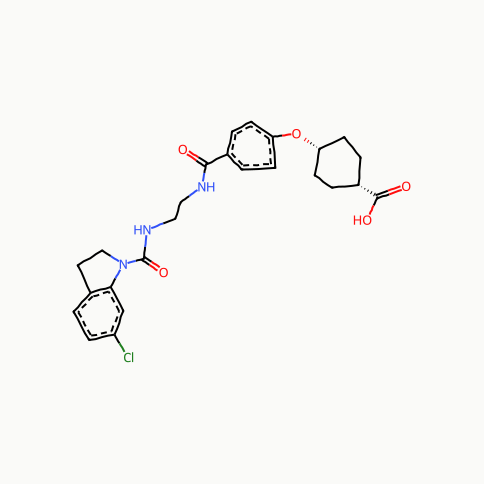 O=C(NCCNC(=O)N1CCc2ccc(Cl)cc21)c1ccc(O[C@H]2CC[C@@H](C(=O)O)CC2)cc1